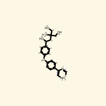 N/C=C(\N=C/I)c1ccc(Oc2ccc(C(O)CC(N)(CO)CO)cc2)cc1